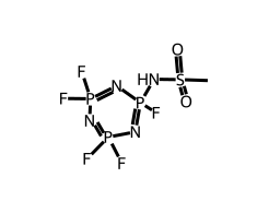 CS(=O)(=O)NP1(F)=NP(F)(F)=NP(F)(F)=N1